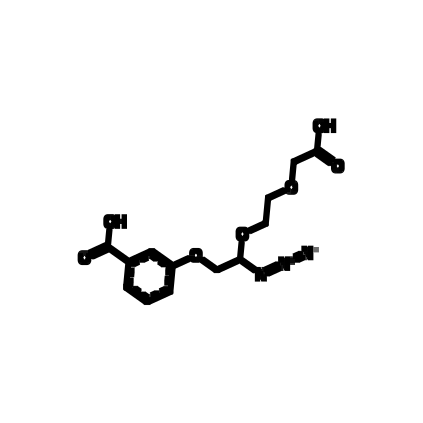 [N-]=[N+]=NC(COc1cccc(C(=O)O)c1)OCCOCC(=O)O